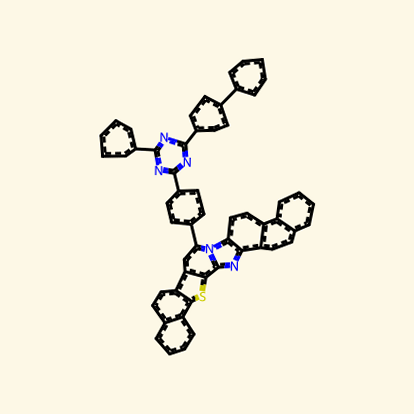 c1ccc(-c2ccc(-c3nc(-c4ccccc4)nc(-c4ccc(-c5cc6c7ccc8ccccc8c7sc6c6nc7c8ccc9ccccc9c8ccc7n56)cc4)n3)cc2)cc1